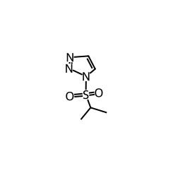 CC(C)S(=O)(=O)n1ccnn1